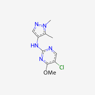 COc1nc(Nc2cnn(C)c2C)ncc1Cl